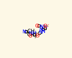 CC(C)(NC(=O)c1ccc(OC2CCN(c3nc4c(c(NC5CCOCC5)n3)[S+]([O-])CC4)CC2)cc1)c1ccncc1